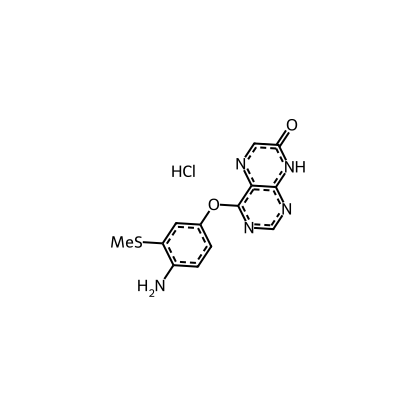 CSc1cc(Oc2ncnc3[nH]c(=O)cnc23)ccc1N.Cl